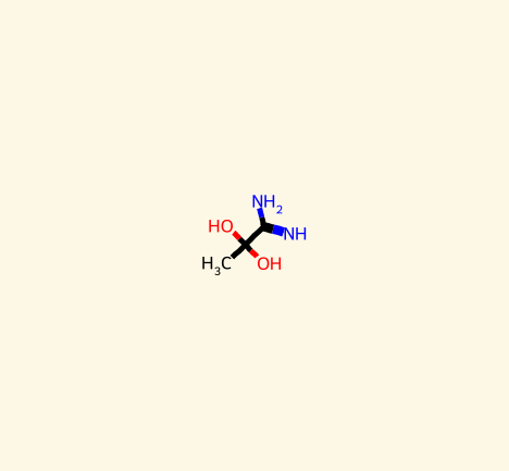 CC(O)(O)C(=N)N